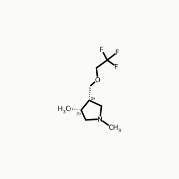 C[C@H]1CN(C)C[C@H]1COCC(F)(F)F